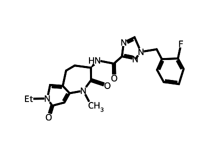 CCn1cc2c(cc1=O)N(C)C(=O)[C@H](NC(=O)c1ncn(Cc3ccccc3F)n1)CC2